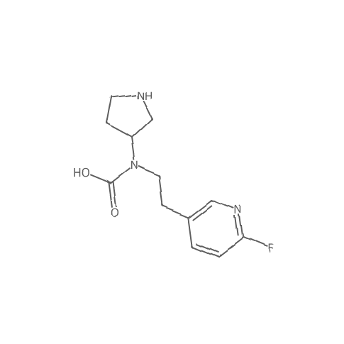 O=C(O)N(CCc1ccc(F)nc1)C1CCNC1